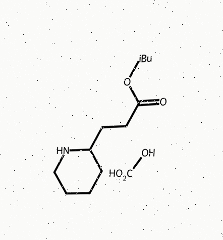 CCC(C)OC(=O)CCC1CCCCN1.O=C(O)O